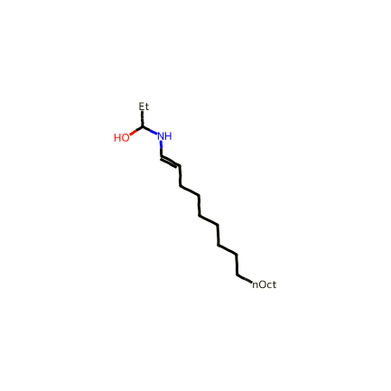 CCCCCCCCCCCCCCCC=CNC(O)CC